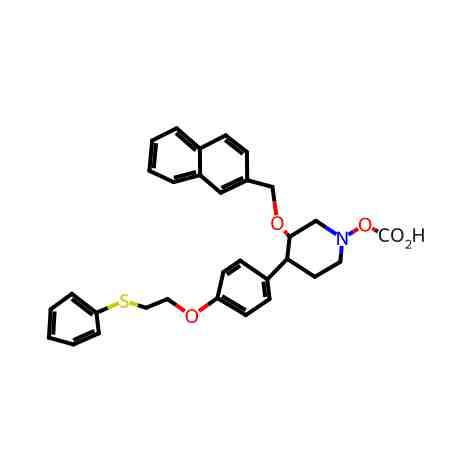 O=C(O)ON1CCC(c2ccc(OCCSc3ccccc3)cc2)C(OCc2ccc3ccccc3c2)C1